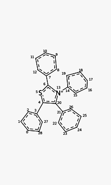 c1ccc(-c2sc(-c3ccccc3)[n+](-c3ccccc3)c2-c2ccccc2)cc1